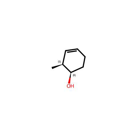 C[C@H]1C=CCC[C@H]1O